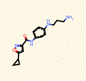 NCCCNc1ccc(NC(=O)c2cc(C3CC3)on2)cc1